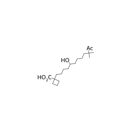 CC(=O)C(C)(C)CCCCC(O)CCCCC1(C(=O)O)CCC1